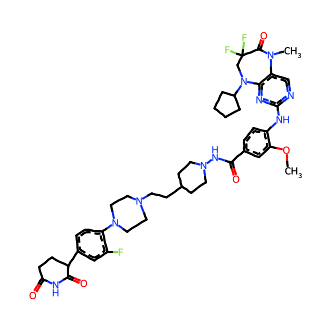 COc1cc(C(=O)NN2CCC(CCN3CCN(c4ccc(C5CCC(=O)NC5=O)cc4F)CC3)CC2)ccc1Nc1ncc2c(n1)N(C1CCCC1)CC(F)(F)C(=O)N2C